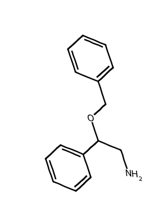 NCC(OCc1ccccc1)c1ccccc1